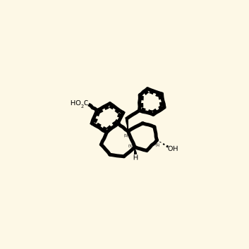 O=C(O)c1ccc2c(c1)CCC[C@H]1C[C@@H](O)CC[C@@]21Cc1ccccc1